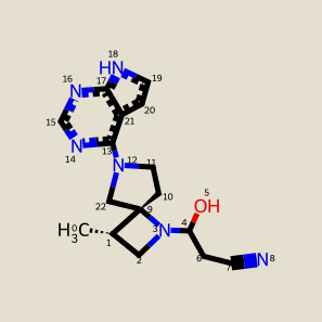 C[C@H]1CN(C(O)CC#N)[C@]12CCN(c1ncnc3[nH]ccc13)C2